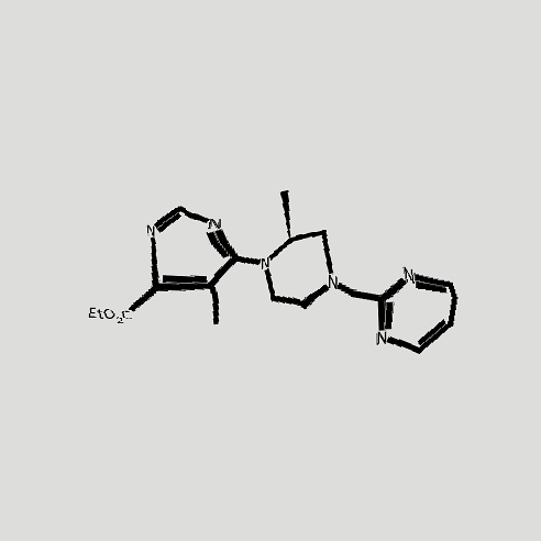 CCOC(=O)c1ncnc(N2CCN(c3ncccn3)C[C@@H]2C)c1C